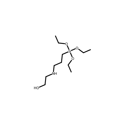 CCO[Si](CCCNCCO)(OCC)OCC